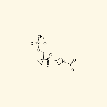 CS(=O)(=O)OCC1(S(=O)(=O)C2CN(C(=O)O)C2)CC1